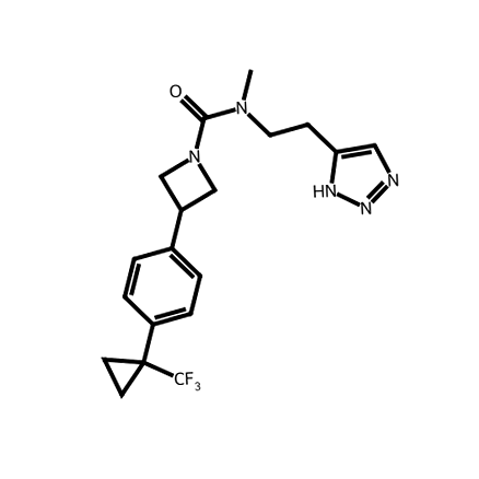 CN(CCc1cnn[nH]1)C(=O)N1CC(c2ccc(C3(C(F)(F)F)CC3)cc2)C1